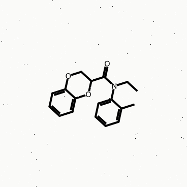 CCN(C(=O)C1COc2ccccc2O1)c1ccccc1C